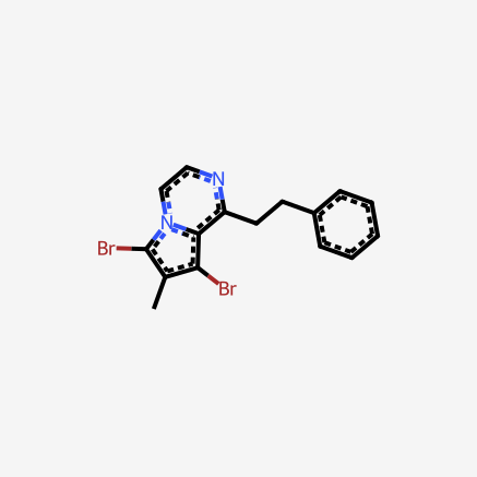 Cc1c(Br)c2c(CCc3ccccc3)nccn2c1Br